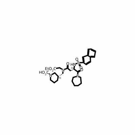 CCOC(=O)CN(C[C@@H]1CCCN(C(=O)O)C1)C(=O)C[C@H](NS(=O)(=O)c1ccc2ccccc2c1)C(=O)N1CCCCCC1